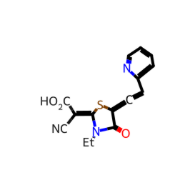 CCn1c(=O)c(=C=Cc2ccccn2)s/c1=C(/C#N)C(=O)O